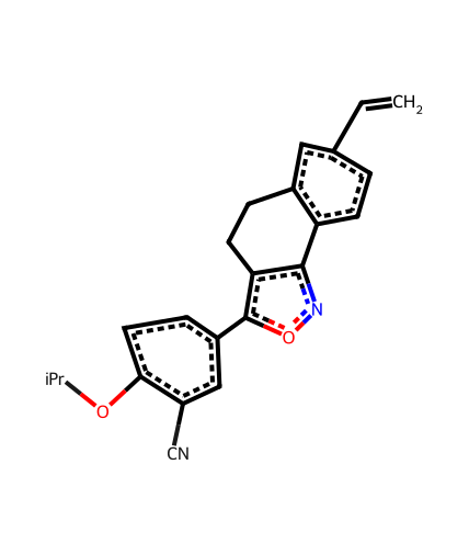 C=Cc1ccc2c(c1)CCc1c-2noc1-c1ccc(OC(C)C)c(C#N)c1